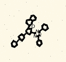 c1ccc(-c2ccc(-c3cc(-c4nc(-c5ccccc5)nc(-c5ccccc5)n4)c4oc5c6ccccc6ccc5c4c3)cc2)cc1